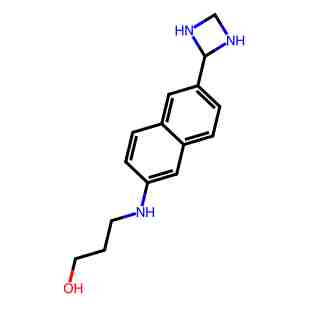 OCCCNc1ccc2cc(C3NCN3)ccc2c1